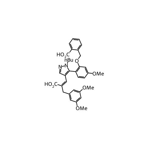 CCCCn1ncc(C=C(Cc2cc(OC)cc(OC)c2)C(=O)O)c1-c1ccc(OC)cc1OCc1ccccc1C(=O)O